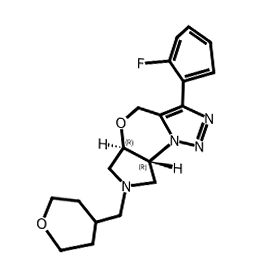 Fc1ccccc1-c1nnn2c1CO[C@@H]1CN(CC3CCOCC3)C[C@H]12